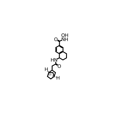 O=C(CC1C[C@H]2CC[C@H]1C2)NC1CCCc2cc(C(=O)NO)ccc21